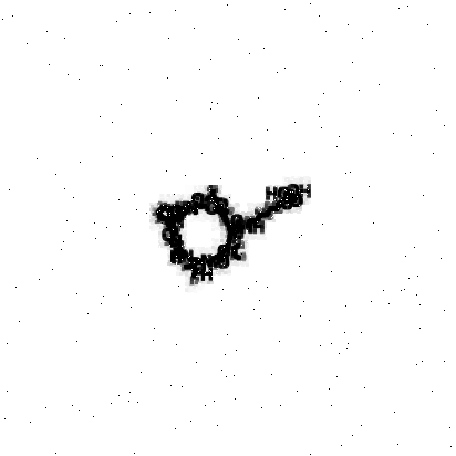 C/C=C(\C)[C@H]1OC(=O)[C@@H](C)NC(=O)[C@H](C(C)CC)NC(=O)CN(C)C(=O)[C@@H](Cc2ccccc2)N(C)C(=O)[C@H](C)NC(=O)[C@@H](CC(C)C)OC(=O)/C(C)=C/C[C@H](OC(=O)NCCCCCCCOP(=O)(O)O)[C@@H]1C